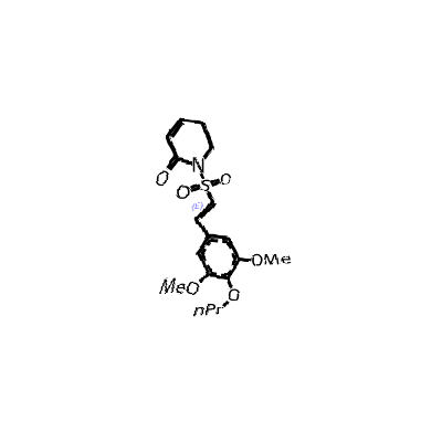 CCCOc1c(OC)cc(/C=C/S(=O)(=O)N2CCC=CC2=O)cc1OC